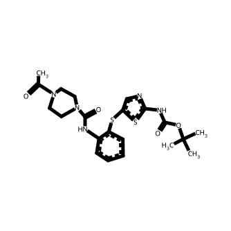 CC(=O)N1CCN(C(=O)Nc2ccccc2Sc2cnc(NC(=O)OC(C)(C)C)s2)CC1